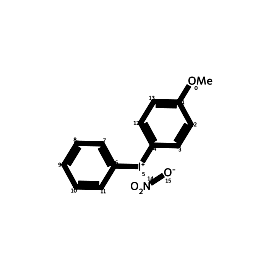 COc1ccc([I+]c2ccccc2)cc1.O=[N+]([O-])[O-]